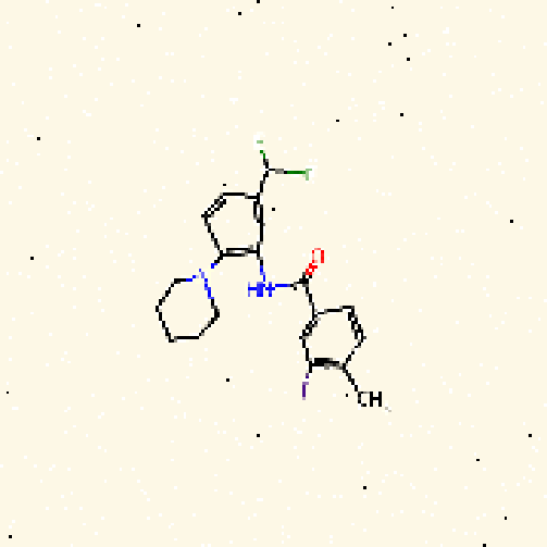 Cc1ccc(C(=O)Nc2cc(C(F)F)ccc2N2CCCCC2)cc1I